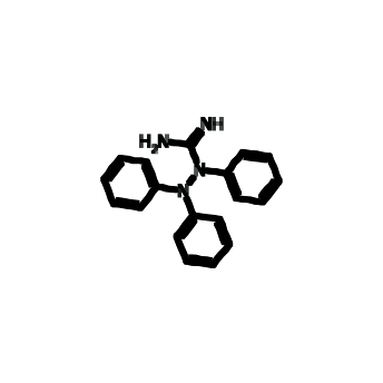 N=C(N)N(c1ccccc1)N(c1ccccc1)c1ccccc1